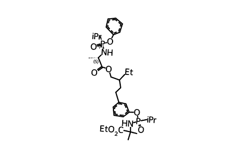 CCOC(=O)C(C)(C)NP(=O)(Oc1cccc(CCC(CC)COC(=O)[C@H](C)N[P@](=O)(Oc2ccccc2)C(C)C)c1)C(C)C